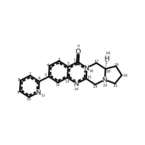 O=c1c2ccc(-c3ccccn3)cc2nc2n1C[C@H]1CCCN1C2